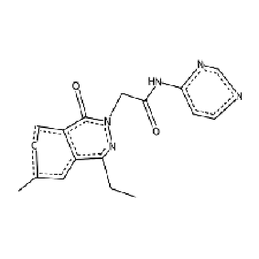 CCc1nn(CC(=O)Nc2ccncn2)c(=O)c2ccc(C)cc12